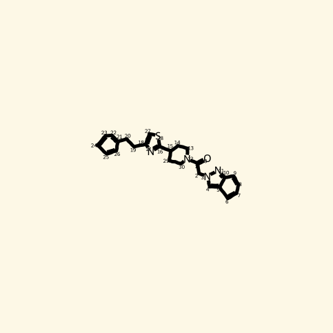 O=C(Cn1cc2ccccc2n1)N1CCC(c2nc(CCc3ccccc3)cs2)CC1